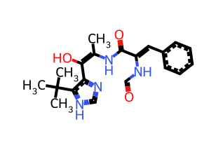 C/C(NC(=O)/C(=C/c1ccccc1)NC=O)=C(\O)c1nc[nH]c1C(C)(C)C